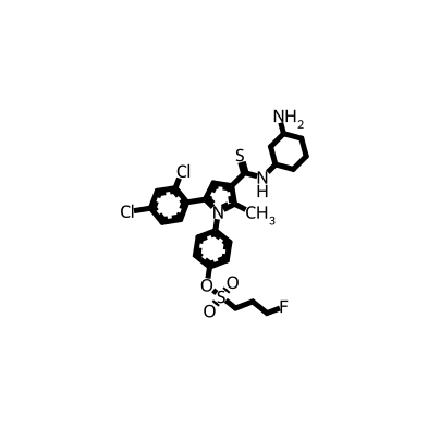 Cc1c(C(=S)NC2CCCC(N)C2)cc(-c2ccc(Cl)cc2Cl)n1-c1ccc(OS(=O)(=O)CCCF)cc1